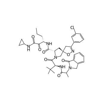 CCC[C@H](NC(=O)[C@@H]1C[C@]2(CC(c3cccc(Cl)c3)=NO2)CN1C(=O)[C@@H](NC(=O)C(C)N1Cc2ccccc2C1=O)C(C)(C)C)C(=O)C(=O)NC1CC1